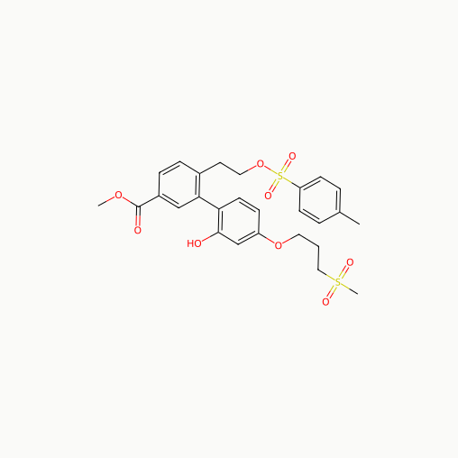 COC(=O)c1ccc(CCOS(=O)(=O)c2ccc(C)cc2)c(-c2ccc(OCCCS(C)(=O)=O)cc2O)c1